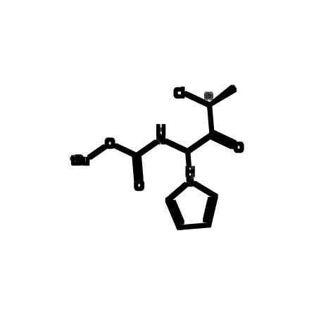 C[C@H](Cl)C(=O)C(NC(=O)OC(C)(C)C)[SH]1C=CC=C1